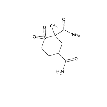 CC1(C(N)=O)C[C](C(N)=O)CCS1(=O)=O